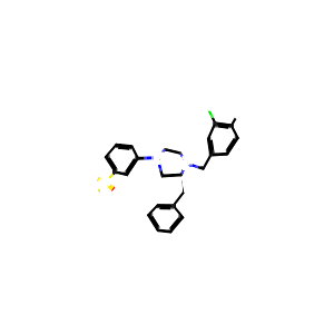 Cc1ccc(CN2CCN(c3cccc(S(C)(=O)=O)c3)C[C@@H]2Cc2ccccc2)cc1Cl